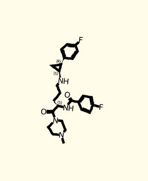 CN1CCN(C(=O)[C@H](CCCN[C@H]2C[C@@H]2c2ccc(F)cc2)NC(=O)c2ccc(F)cc2)CC1